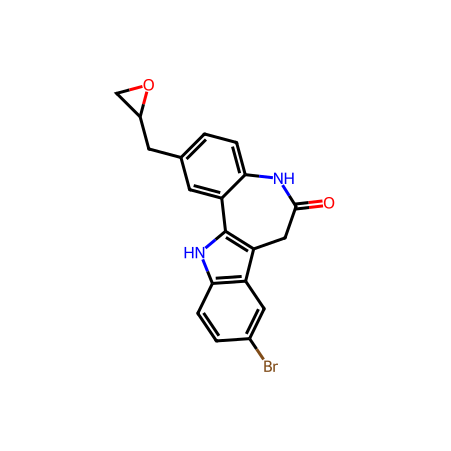 O=C1Cc2c([nH]c3ccc(Br)cc23)-c2cc(CC3CO3)ccc2N1